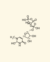 CN1C=C([C@@H]2O[C@H](COP(=O)(O)OP(=O)(O)OP(=O)(O)O)C(O)[C@@H]2O)C(=O)NC1O